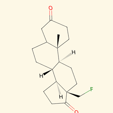 C[C@]12CCC(=O)CC1CC[C@H]1[C@@H]3CCC(=O)[C@@]3(CF)CC[C@@H]12